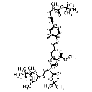 COCC(CCN(C(=O)OC(C)(C)C)c1nc(C(=O)OC)c(CCCOc2ccc(C#CCN(C)C(=O)OC(C)(C)C)cc2F)s1)O[Si](C)(C)C(C)(C)C